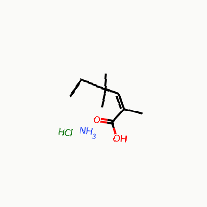 CCC(C)(C)C=C(C)C(=O)O.Cl.N